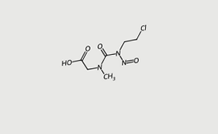 CN(CC(=O)O)C(=O)N(CCCl)N=O